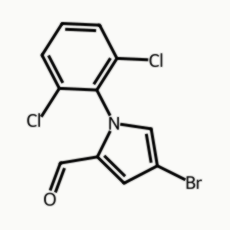 O=Cc1cc(Br)cn1-c1c(Cl)cccc1Cl